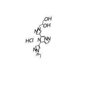 CC[C@H](C)n1cc(-c2nc(-c3cnn(CC(O)CO)c3)cn3nccc23)cn1.Cl